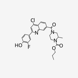 CCCOC(=O)N1CCN(C(=O)c2ccc3c(Cl)cc(-c4ccc(O)c(F)c4)nc3c2)CC1C